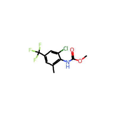 COC(=O)Nc1c(C)cc(C(F)(F)F)cc1Cl